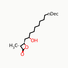 CCCCCCCCCCCCCCCCC[C@@H](O)C[C@H]1OC(=O)[C@@H]1C